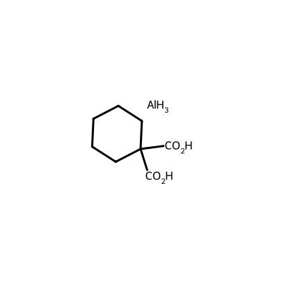 O=C(O)C1(C(=O)O)CCCCC1.[AlH3]